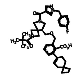 CC(C)(C(=O)N1CC2(CN(C(=O)c3cnn(Cc4ccc(F)cc4)c3)C[C@H]2COCc2cccc(C3=CCC4(CCC4)CC3)c2C(=O)O)C1)C(F)(F)F